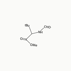 COC(=O)C(N[C]=O)C(C)(C)C